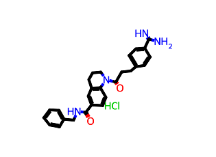 Cl.N=C(N)c1ccc(CCC(=O)N2CCCc3cc(C(=O)NCc4ccccc4)ccc32)cc1